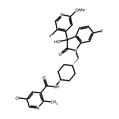 COc1cc(C2(O)C(=O)N(C[C@H]3CC[C@H](NC(=O)c4cc(Cl)cnc4C)CC3)c3cc(F)ccc32)c(F)cn1